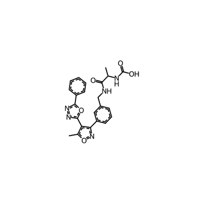 Cc1onc(-c2cccc(CNC(=O)C(C)NC(=O)O)c2)c1-c1nnc(-c2ccccc2)o1